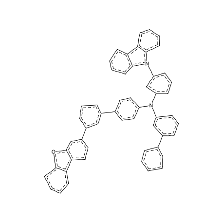 c1ccc(-c2cccc(N(c3ccc(-c4cccc(-c5ccc6c(c5)oc5ccccc56)c4)cc3)c3cccc(-n4c5ccccc5c5ccccc54)c3)c2)cc1